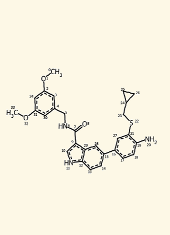 COc1cc(CNC(=O)c2c[nH]c3ccc(-c4ccc(N)c(SCC5CC5)c4)cc23)cc(OC)c1